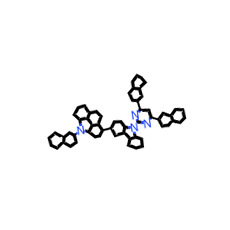 c1ccc2cc(-c3cc(-c4ccc5ccccc5c4)nc(-n4c5ccccc5c5cc(-c6ccc7c8c6ccc6cccc(c68)n7-c6ccc7ccccc7c6)ccc54)n3)ccc2c1